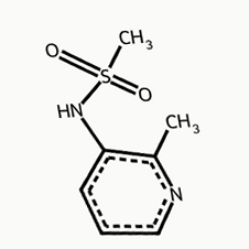 Cc1ncccc1NS(C)(=O)=O